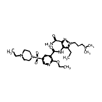 CCOc1ncc(S(=O)(=O)N2CCN(CC)CC2)cc1C(=O)Nc1c(C(N)=O)nn(CCCN(C)C)c1CC